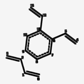 C=CC=C.C=Cc1ccccc1C=C